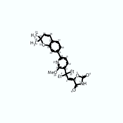 CCC(C=C1OC(=O)NC1=O)(CC)c1ccc(-c2ccc3c(c2)OC(C)(C)C=C3)nc1OC